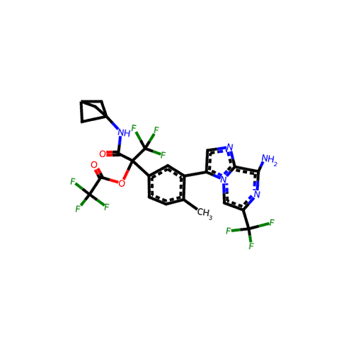 Cc1ccc(C(OC(=O)C(F)(F)F)(C(=O)NC23CC(C2)C3)C(F)(F)F)cc1-c1cnc2c(N)nc(C(F)(F)F)cn12